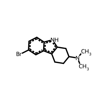 CN(C)C1CCc2c([nH]c3ccc(Br)cc23)C1